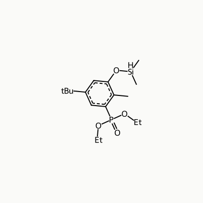 CCOP(=O)(OCC)c1cc(C(C)(C)C)cc(O[SiH](C)C)c1C